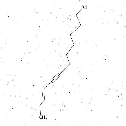 CCC=CC#CCCCCCCCl